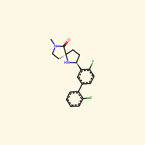 CN1CC[C@@]2(CC[C@@H](c3cc(-c4ccccc4F)ccc3F)N2)C1=O